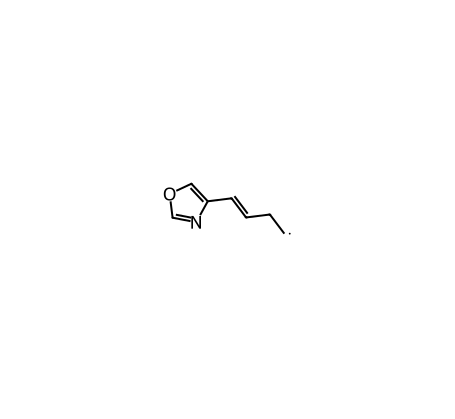 [CH2]CC=Cc1cocn1